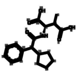 CC(C(=O)O)[C@H](NC(=O)C(c1ccccc1)C1CCCC1)C(=O)O